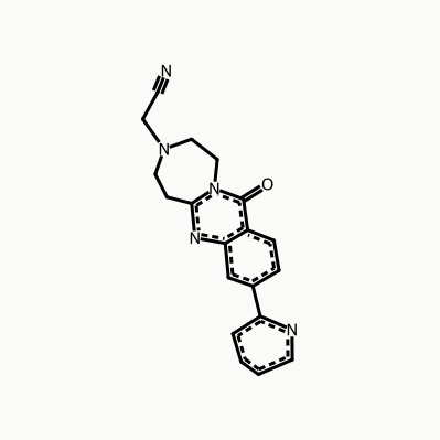 N#CCN1CCc2nc3cc(-c4ccccn4)ccc3c(=O)n2CC1